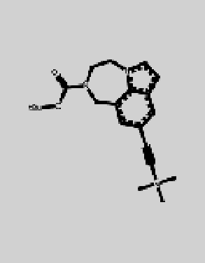 CC(C)(C)OC(=O)N1CCn2ccc3cc(C#C[Si](C)(C)C)cc(c32)C1